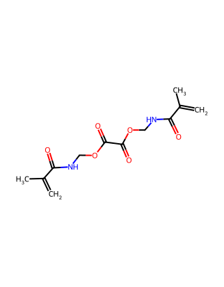 C=C(C)C(=O)NCOC(=O)C(=O)OCNC(=O)C(=C)C